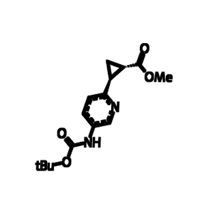 COC(=O)[C@H]1C[C@@H]1c1ccc(NC(=O)OC(C)(C)C)cn1